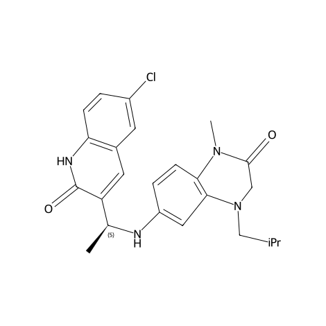 CC(C)CN1CC(=O)N(C)c2ccc(N[C@@H](C)c3cc4cc(Cl)ccc4[nH]c3=O)cc21